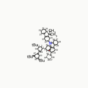 CC(C)(C)c1cc(-c2cccc(N(c3ccc4c(c3)C(C)(C)c3ccccc3-4)c3ccccc3-c3ccc(C4CCCCC4)cc3)c2)cc(-c2cc(C(C)(C)C)cc(C(C)(C)C)c2)c1